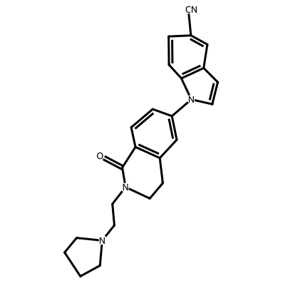 N#Cc1ccc2c(ccn2-c2ccc3c(c2)CCN(CCN2CCCC2)C3=O)c1